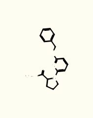 COC(=O)C1CCCN1c1cccc(OCc2ccccc2)n1